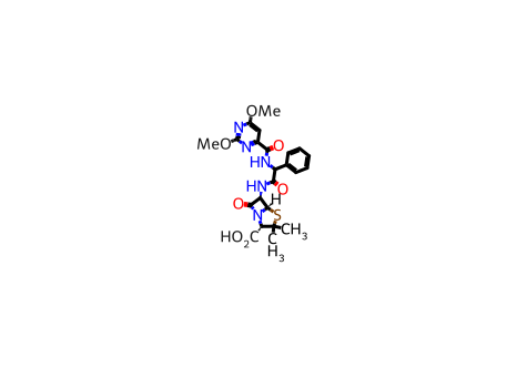 COc1cc(C(=O)NC(C(=O)N[C@@H]2C(=O)N3[C@@H]2SC(C)(C)[C@@H]3C(=O)O)c2ccccc2)nc(OC)n1